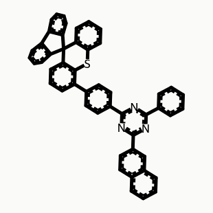 c1ccc(-c2nc(-c3ccc(-c4cccc5c4Sc4ccccc4C54c5ccccc5-c5ccccc54)cc3)nc(-c3ccc4ccccc4c3)n2)cc1